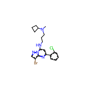 CN(CCCNc1cc(-c2ccccc2Cl)nc2c(Br)cnn12)C1CCC1